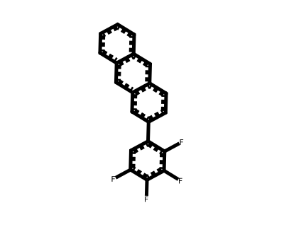 Fc1cc(-c2ccc3cc4ccccc4cc3c2)c(F)c(F)c1F